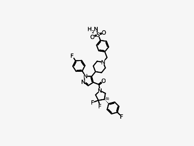 NS(=O)(=O)c1ccc(CN2CCC(c3c(C(=O)N4C[C@H](c5ccc(F)cc5)C(F)(F)C4)cnn3-c3ccc(F)cc3)CC2)cc1